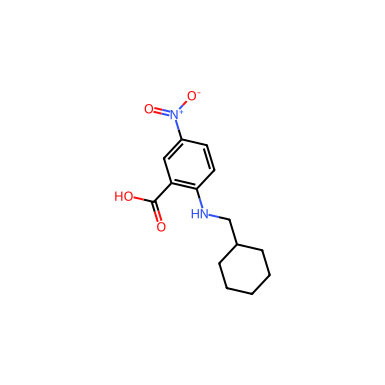 O=C(O)c1cc([N+](=O)[O-])ccc1NCC1CCCCC1